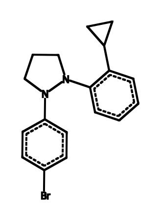 Brc1ccc(N2CCCN2c2ccccc2C2CC2)cc1